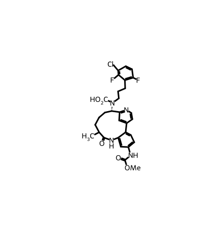 COC(=O)Nc1ccc2c(c1)NC(=O)C(C)CCC[C@H](N(CCCc1c(F)ccc(Cl)c1F)C(=O)O)c1cc-2ccn1